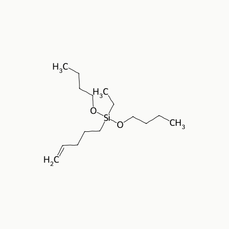 C=CCCC[Si](CC)(OCCCC)OCCCC